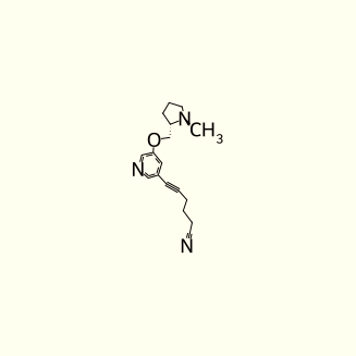 CN1CCC[C@H]1COc1cncc(C#CCCCC#N)c1